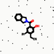 CC(C)c1cc(C(=O)N2Cc3ccccc3C2)c(O)cc1CC#N